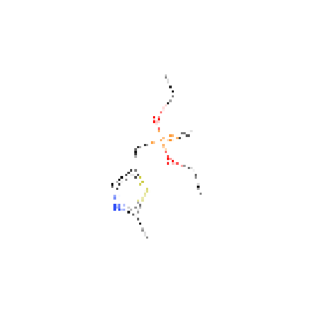 C=P(Cc1cnc(C)s1)(OCC)OCC